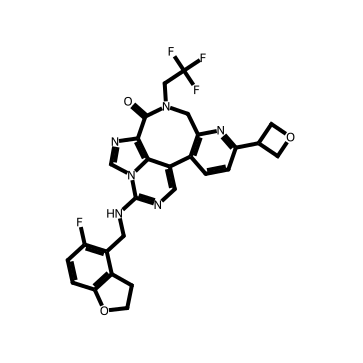 O=C1c2ncn3c(NCc4c(F)ccc5c4CCO5)ncc(c23)-c2ccc(C3COC3)nc2CN1CC(F)(F)F